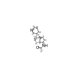 CC(=O)Nc1ccn2c1CSC2c1cccnc1